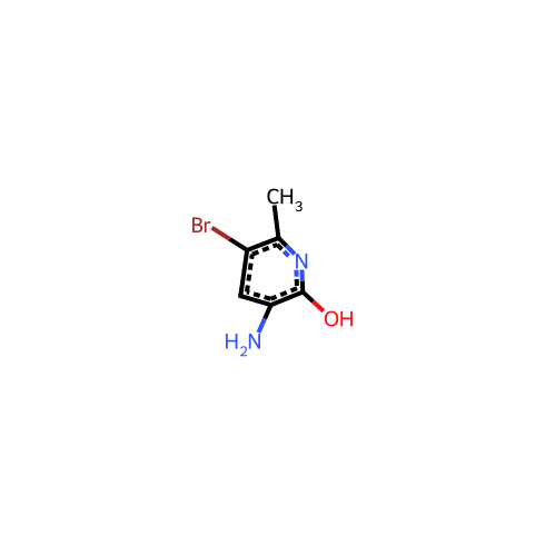 Cc1nc(O)c(N)cc1Br